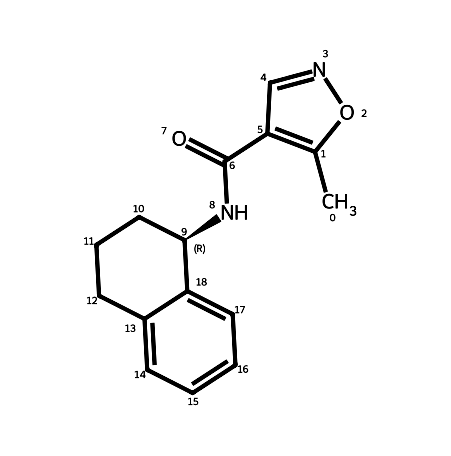 Cc1oncc1C(=O)N[C@@H]1CCCc2ccccc21